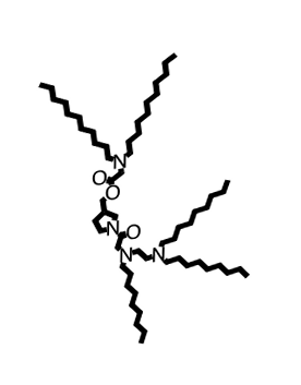 CCCCCCCCCCCN(CCCCCCCCCCC)CC(=O)OCC1CCN(C(=O)CN(CCCCCCCCC)CCN(CCCCCCCCC)CCCCCCCCC)C1